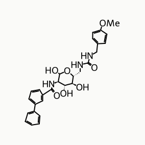 COc1ccc(CNC(=O)NC[C@H]2OC(O)[C@H](NC(=O)c3cccc(-c4ccccc4)c3)[C@@H](O)[C@@H]2O)cc1